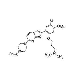 COc1cc(OCCCN(C)C)c(-c2cn3ccc(N4CCN(SC(C)C)CC4)nc3n2)cc1Cl